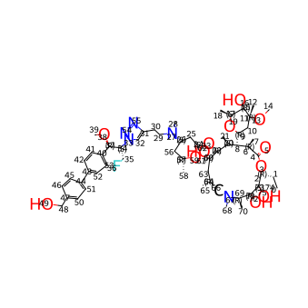 CC[C@H]1OC(=O)[C@H](C)C([C@H]2C[C@@](C)(OC)[C@@H](O)[C@H](C)O2)[C@H](C)[C@@H](O[C@H]2C[C@@H](N(C)CCc3cn([C@H](CF)[C@H](OC)c4ccc(-c5ccc(CO)cc5)cc4)nn3)C[C@@H](C)O2)[C@](C)(O)C[C@@H](C)CN(C)[C@H](C)[C@@H](O)[C@]1(C)O